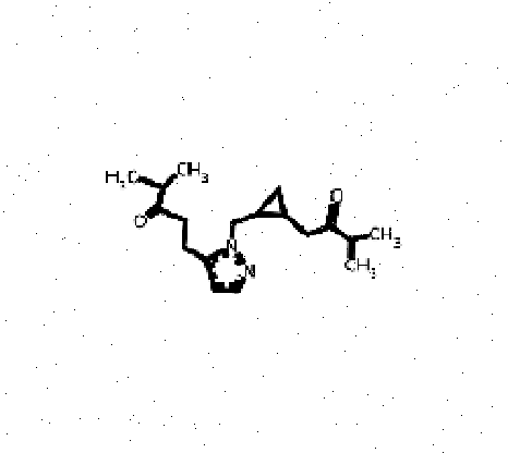 CC(C)C(=O)CCc1ccnn1CC1CC1CC(=O)C(C)C